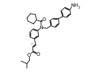 CC(C)COC(=O)/C=C/c1cccc(N(Cc2ccc(-c3ccc(N)cc3)cc2)C(=O)C2CCCCC2)c1